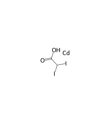 O=C(O)C(I)I.[Cd]